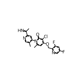 CC(=N)c1cc(-n2c(C)cc(OCc3ncc(F)cc3F)c(Cl)c2=O)c(C)cn1